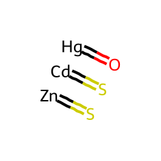 [O]=[Hg].[S]=[Cd].[S]=[Zn]